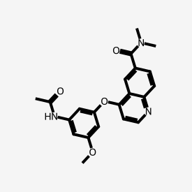 COc1cc(NC(C)=O)cc(Oc2ccnc3ccc(C(=O)N(C)C)cc23)c1